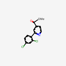 COC(=O)c1ccnc(-c2ccc(Cl)cc2Cl)c1